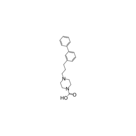 O=C(O)N1CCN(CCCc2cccc(-c3ccccc3)c2)CC1